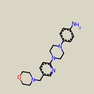 Nc1ccc(N2CCN(c3ccc(CN4CCOCC4)cn3)CC2)cc1